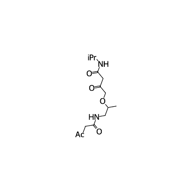 CC(=O)CC(=O)NCC(C)OCC(=O)CC(=O)NC(C)C